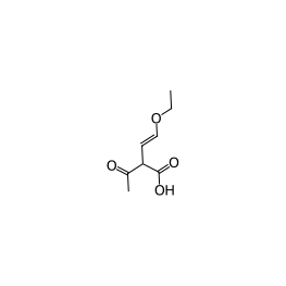 CCO/C=C/C(C(C)=O)C(=O)O